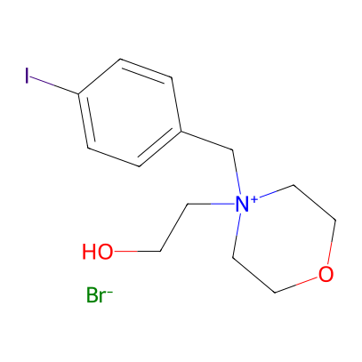 OCC[N+]1(Cc2ccc(I)cc2)CCOCC1.[Br-]